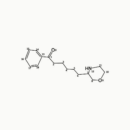 O=C(CCCCCC1COCCN1)c1ccccc1